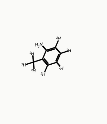 [2H]c1c([2H])c([2H])c(C([2H])([2H])[2H])c(N)c1[2H]